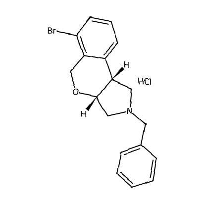 Brc1cccc2c1CO[C@H]1CN(Cc3ccccc3)C[C@@H]21.Cl